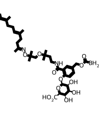 BC(=O)OCc1ccc(O[C@@H]2O[C@H](C(=O)O)[C@@H](O)[C@H](O)[C@H]2O)c(C(=O)NCCC(C)(C)OCC(C)(C)O/N=C(\C)CC/C(C)=C/CC/C(C)=C/C)c1